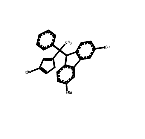 CC(C)(C)C1=CCC(C(C)(c2ccccc2)C2c3ccc(C(C)(C)C)cc3-c3cc(C(C)(C)C)ccc32)=C1